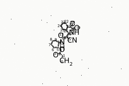 C=CC(=O)Oc1ccccc1NC(=O)C(C#N)=C1NS(=O)(=O)c2ccccc21